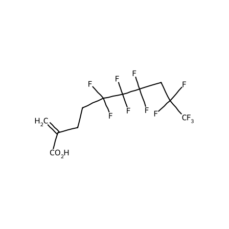 C=C(CCC(F)(F)C(F)(F)C(F)(F)CC(F)(F)C(F)(F)F)C(=O)O